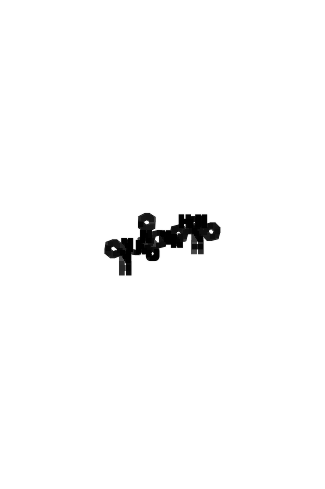 Nc1ccccc1NC(=O)c1ccc(N2CCC3(CC2)C(=O)N(Cc2nc4ccccc4[nH]2)CN3c2ccccc2)nc1